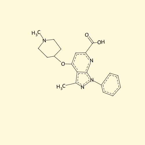 Cc1nn(-c2ccccc2)c2nc(C(=O)O)cc(OC3CCN(C)CC3)c12